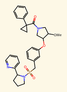 COC1CN(C(=O)C2(c3ccccc3)CC2)CC1Oc1cccc(CS(=O)(=O)N2CCCC2c2ccccn2)c1